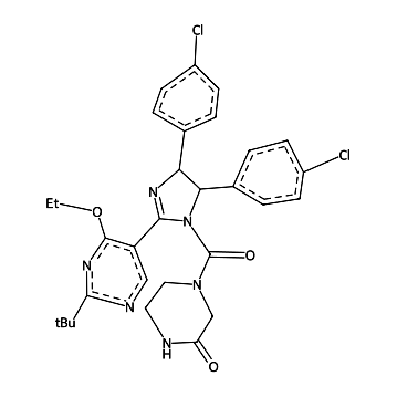 CCOc1nc(C(C)(C)C)ncc1C1=NC(c2ccc(Cl)cc2)C(c2ccc(Cl)cc2)N1C(=O)N1CCNC(=O)C1